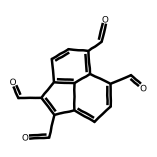 O=CC1=C(C=O)c2ccc(C=O)c3c(C=O)ccc1c23